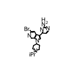 CC(C)N1CCC(n2cc(-c3ccnc(N)n3)c3cc(Br)ncc32)CC1